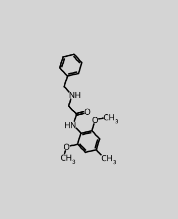 COc1cc(C)cc(OC)c1NC(=O)CNCc1ccccc1